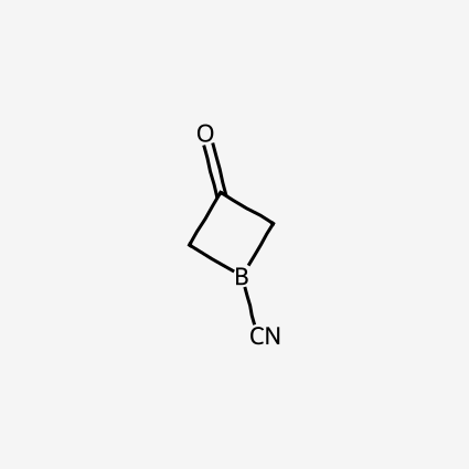 N#CB1CC(=O)C1